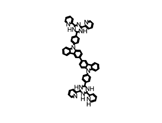 C1=CNC(C2NC(c3ccc(-n4c5ccccc5c5cc(-c6ccc7c(c6)c6ccccc6n7-c6ccc(C7NC(c8ccccn8)=NC(c8ccccn8)N7)cc6)ccc54)cc3)NC(c3ccccn3)N2)C=C1